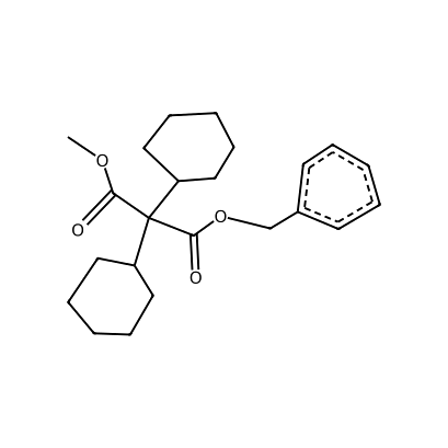 COC(=O)C(C(=O)OCc1ccccc1)(C1CCCCC1)C1CCCCC1